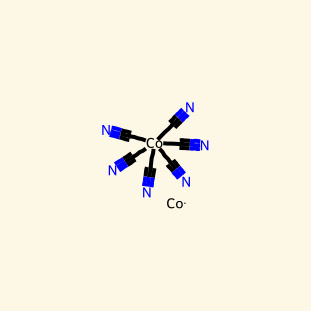 N#[C][Co]([C]#N)([C]#N)([C]#N)([C]#N)[C]#N.[Co]